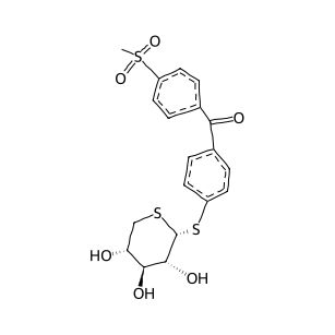 CS(=O)(=O)c1ccc(C(=O)c2ccc(S[C@H]3SC[C@@H](O)[C@H](O)[C@H]3O)cc2)cc1